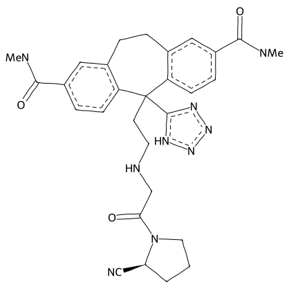 CNC(=O)c1ccc2c(c1)CCc1cc(C(=O)NC)ccc1C2(CCNCC(=O)N1CCC[C@H]1C#N)c1nnn[nH]1